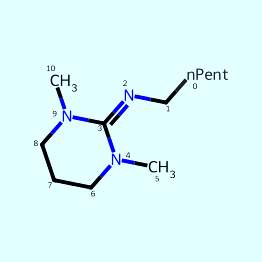 CCCCCCN=C1N(C)CCCN1C